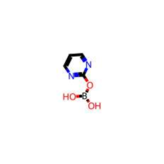 OB(O)Oc1ncccn1